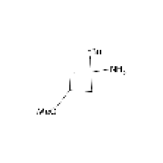 COC1CC(N)(C(C)(C)C)C1